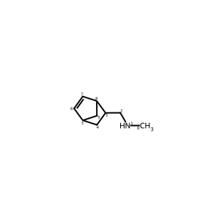 CNCC1CC2C=CC1C2